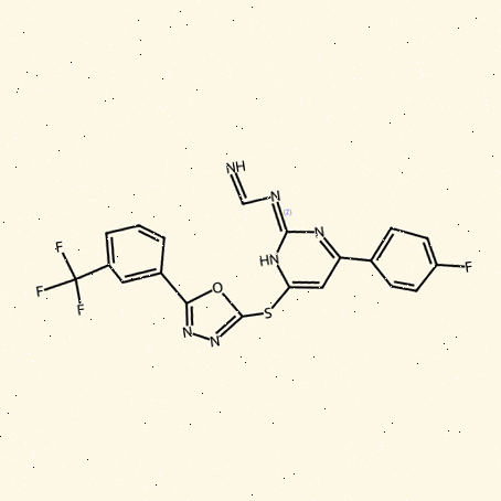 N=C/N=c1/nc(-c2ccc(F)cc2)cc(Sc2nnc(-c3cccc(C(F)(F)F)c3)o2)[nH]1